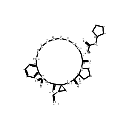 C=C[C@@H]1C[C@@]12NC(=O)[C@@H]1CCCN1C(=O)[C@@H](NC(=O)OC1CCCC1)CCCCCCCCNc1ccccc1S(=O)(=O)NC2=O